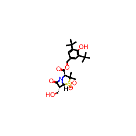 CC(C)(C)c1cc(COC(=O)[C@@H]2N3C(=O)[C@@H](CO)[C@H]3S(=O)(=O)C2(C)C)cc(C(C)(C)C)c1O